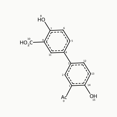 CC(=O)c1cc(-c2ccc(O)c(C(=O)O)c2)ccc1O